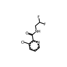 O=C(NCC(F)F)c1ncccc1Cl